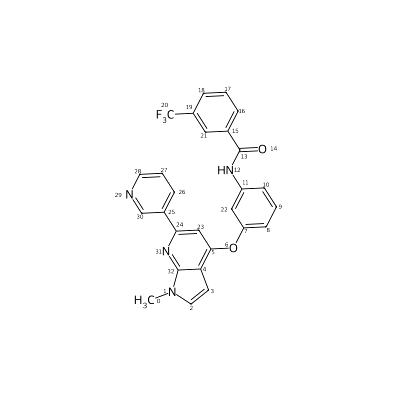 Cn1ccc2c(Oc3cccc(NC(=O)c4cccc(C(F)(F)F)c4)c3)cc(-c3cccnc3)nc21